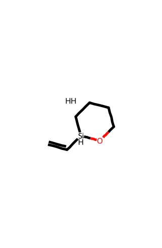 C=C[SiH]1CCCCO1.[HH]